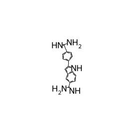 N=C(N)c1ccc(-c2cc3cc(C(=N)N)ccc3[nH]2)cc1